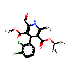 COC(=O)C1=C(C=O)NC(C)=C(C(=O)OC(C)C)C1c1cccc(Cl)c1Cl